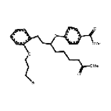 COC(=O)CCCCC(CCc1ccccc1OCCCBr)Oc1ccc(C(=O)OC)cc1